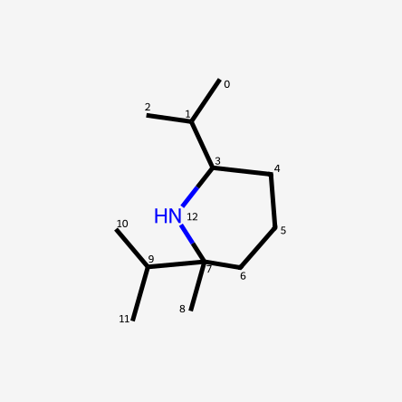 CC(C)C1CCCC(C)(C(C)C)N1